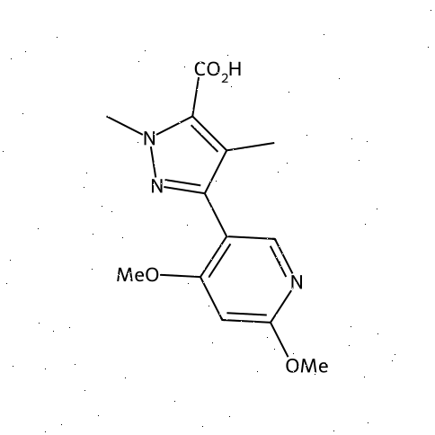 COc1cc(OC)c(-c2nn(C)c(C(=O)O)c2C)cn1